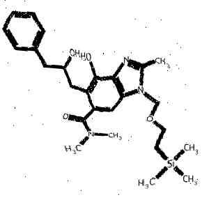 Cc1nc2c(O)c(CC(O)Cc3ccccc3)c(C(=O)N(C)C)cc2n1COCC[Si](C)(C)C